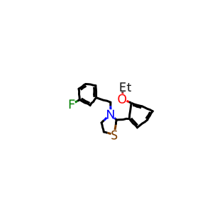 CCOc1ccccc1C1SCCN1Cc1cccc(F)c1